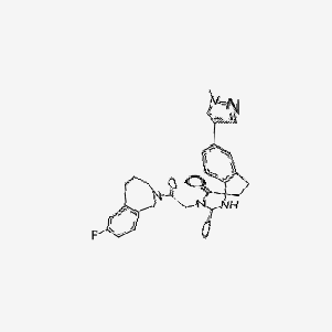 Cn1cc(-c2ccc3c(c2)CC[C@]32NC(=O)N(CC(=O)N3CCCc4cc(F)ccc4C3)C2=O)cn1